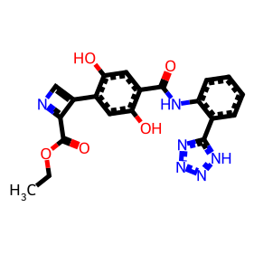 CCOC(=O)C1=NC=C1c1cc(O)c(C(=O)Nc2ccccc2-c2nnn[nH]2)cc1O